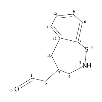 O=CCC1CNSc2ccccc2C1